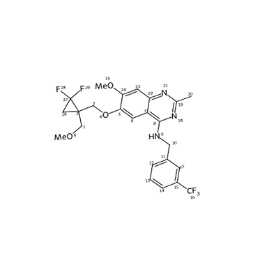 COCC1(COc2cc3c(NCc4cccc(C(F)(F)F)c4)nc(C)nc3cc2OC)CC1(F)F